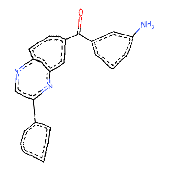 Nc1cccc(C(=O)c2ccc3ncc(-c4ccccc4)nc3c2)c1